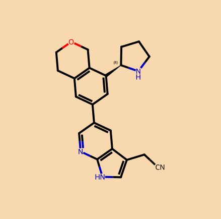 N#CCc1c[nH]c2ncc(-c3cc4c(c([C@H]5CCCN5)c3)COCC4)cc12